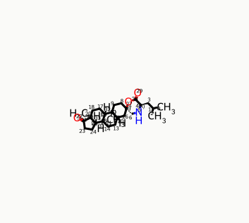 CC(C)C[C@H]1NC[C@]2(CC[C@@]3(C)[C@@H](CC[C@@H]4[C@@H]3CC[C@]3(C)C(=O)CC[C@@H]43)C2)OC1=O